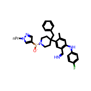 CCCn1cc([S+]([O-])N2CCC(Cc3ccccc3)(c3cc(C=N)c(Nc4ccc(F)cc4)cc3C)CC2)cn1